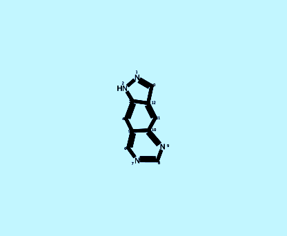 [c]1n[nH]c2cc3cncnc3cc12